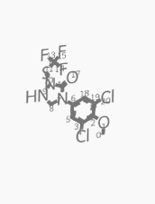 COc1c(Cl)cc(N2CNN(SC(F)(F)F)C2=O)cc1Cl